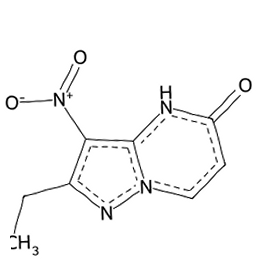 CCc1nn2ccc(=O)[nH]c2c1[N+](=O)[O-]